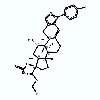 CCC(=O)O[C@]1(C(=O)SCF)CC[C@H]2[C@@H]3CCC4=Cc5c(cnn5-c5ccc(F)cc5)C[C@]4(C)[C@@]3(F)[C@@H](O)C[C@@]21C